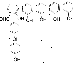 O=Cc1ccccc1O.Oc1ccccc1.Oc1ccccc1.Oc1ccccc1.Oc1ccccc1.Oc1ccccc1.Oc1ccccc1